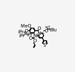 C=CCOC(=O)Nc1cc(O[Si](C(C)C)(C(C)C)C(C)C)c(OC)cc1C(=O)N1CC=C(c2ccsc2)C[C@H]1CO[Si](C)(C)C(C)(C)C